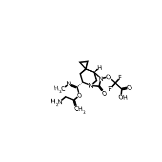 C=C(CN)O/C(=N\C)[C@@H]1CC2(CC2)[C@H]2CN1C(=O)N2OC(F)(F)C(=O)O